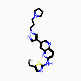 CC(C)Cc1cnc(Nc2ccc3ncc(-c4cnn(CCCN5CCCC5)c4)cc3n2)s1